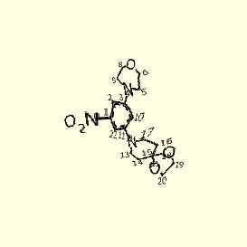 O=[N+]([O-])c1cc(N2CCOCC2)cc(N2CCC3(CC2)OCCO3)c1